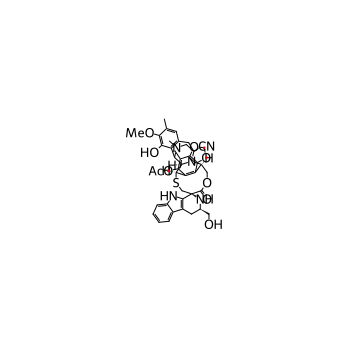 COc1c(C)cc2c(c1O)C1[C@@H]3[C@@H]4SC[C@]5(N[C@@H](CO)Cc6c5[nH]c5ccccc65)C(=O)OC[C@@H](c5c6c(c(C)c(OC(C)=O)c54)OCO6)N3C(C#N)(C2)CN1C